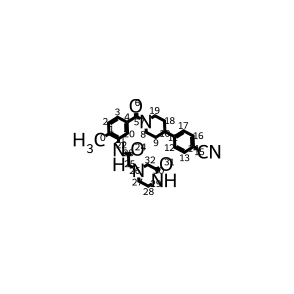 Cc1ccc(C(=O)N2CCC(c3ccc(C#N)cc3)CC2)cc1NC(=O)CN1CCNC(=O)C1